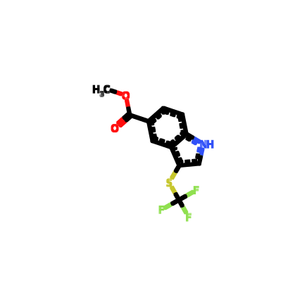 COC(=O)c1ccc2[nH]cc(SC(F)(F)F)c2c1